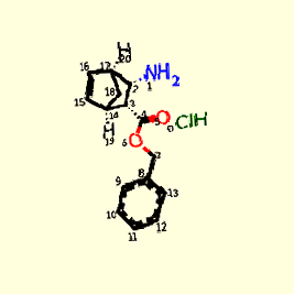 Cl.N[C@@H]1[C@H](C(=O)OCc2ccccc2)[C@H]2C=C[C@@H]1C2